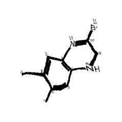 Cc1cc2c(cc1C)NCC(Br)=N2